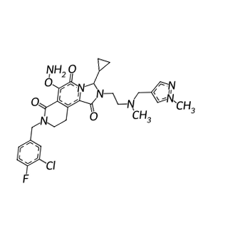 CN(CCN1C(=O)c2c3c(c(ON)c(=O)n2C1C1CC1)C(=O)N(Cc1ccc(F)c(Cl)c1)CC3)Cc1cnn(C)c1